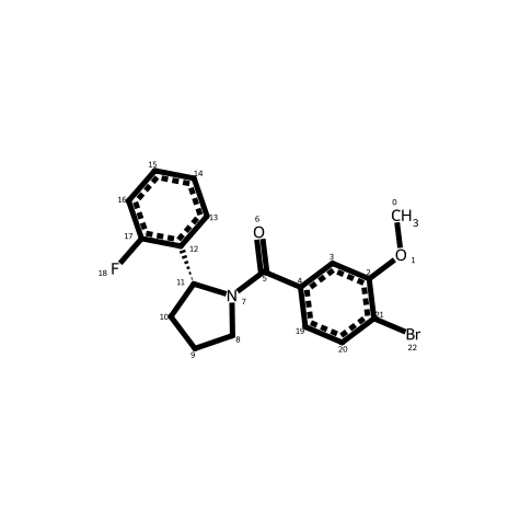 COc1cc(C(=O)N2CCC[C@@H]2c2ccccc2F)ccc1Br